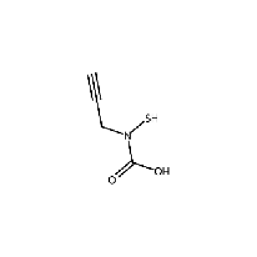 C#CCN(S)C(=O)O